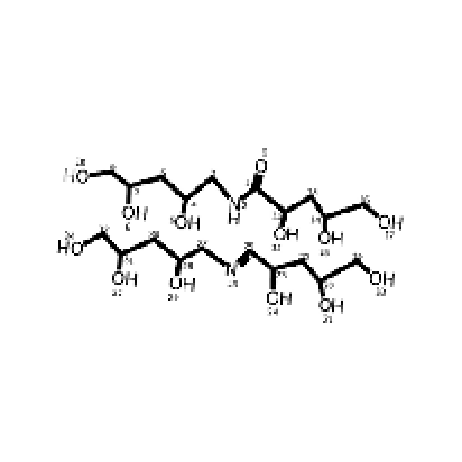 O=C(NCC(O)CC(O)CO)C(O)CC(O)CO.OCC(O)CC(O)C=NCC(O)CC(O)CO